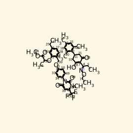 CCO/N=C(\CC)C1=C(O)CC(c2c(C)cc(C)cc2C)CC1=O.CCc1ccc(COc2ccc(-n3c(=O)cc(C(F)(F)F)n(C)c3=O)cc2)c(OC(C)C(=O)OC)c1